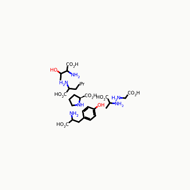 CC(C)CC(N)C(=O)O.CC(N)C(=O)O.CC(O)C(N)C(=O)O.NC(Cc1ccc(O)cc1)C(=O)O.NCC(=O)O.O=C(O)[C@@H]1CCCN1